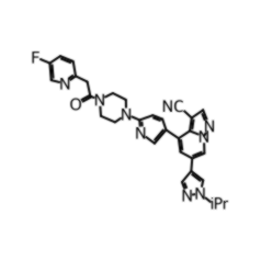 CC(C)n1cc(-c2cc(-c3ccc(N4CCN(C(=O)Cc5ccc(F)cn5)CC4)nc3)c3c(C#N)cnn3c2)cn1